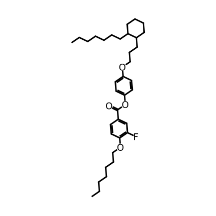 CCCCCCCOc1ccc(C(=O)Oc2ccc(OCCCC3CCCCC3CCCCCCC)cc2)cc1F